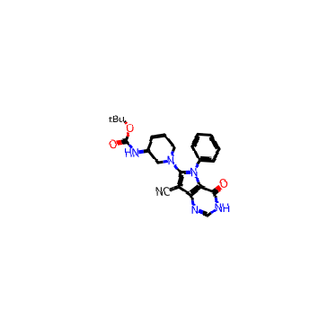 CC(C)(C)OC(=O)NC1CCCN(c2c(C#N)c3nc[nH]c(=O)c3n2-c2ccccc2)C1